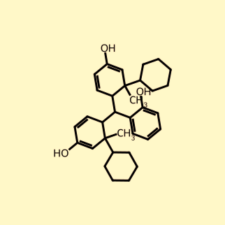 CC1(C2CCCCC2)C=C(O)C=CC1C(c1ccccc1O)C1C=CC(O)=CC1(C)C1CCCCC1